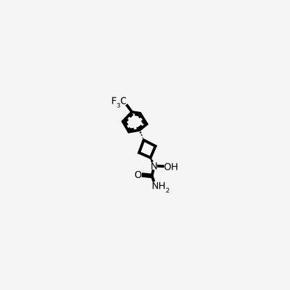 NC(=O)N(O)[C@H]1C[C@H](c2ccc(C(F)(F)F)cc2)C1